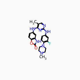 Cc1cnc(Nc2ccc(N3CCN(C)CC3)c(F)c2)nc1Nc1ccc2oc(=O)[nH]c2c1